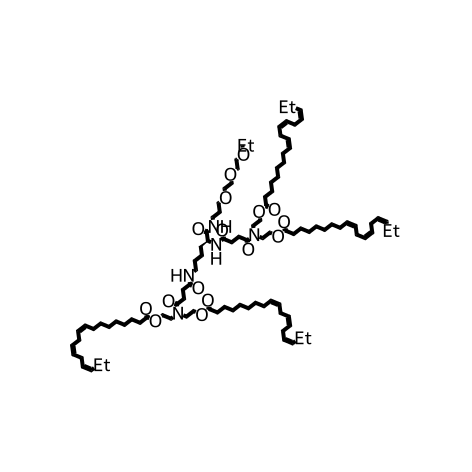 CC/C=C\C/C=C\C/C=C\CCCCCCCC(=O)OCCN(CCOC(=O)CCCCCCC/C=C\C/C=C\C/C=C\CC)C(=O)CCC(=O)NCCCC[C@H](NC(=O)CCC(=O)N(CCOC(=O)CCCCCCC/C=C\C/C=C\C/C=C\CC)CCOC(=O)CCCCCCC/C=C\C/C=C\C/C=C\CC)C(=O)NCCCOCCOCCOCC